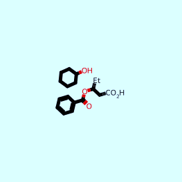 CCC(CC(=O)O)OC(=O)c1ccccc1.OC1CCCCC1